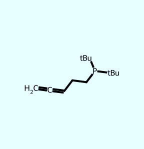 C=C=CCCP(C(C)(C)C)C(C)(C)C